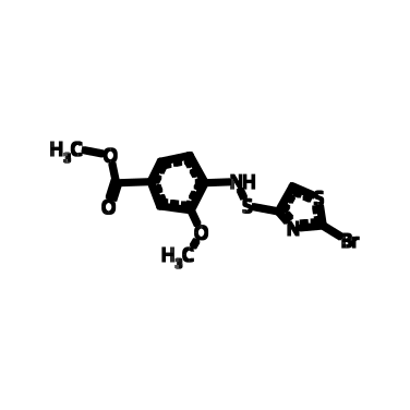 COC(=O)c1ccc(NSc2csc(Br)n2)c(OC)c1